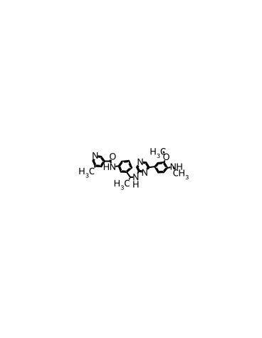 CNc1ccc(-c2cncc(N[C@@H](C)c3cccc(NC(=O)c4cncc(C)c4)c3)n2)cc1OC